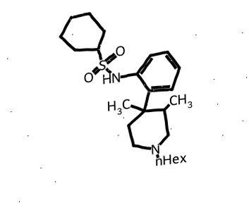 CCCCCCN1CCC(C)(c2ccccc2NS(=O)(=O)C2CCCCC2)C(C)C1